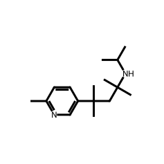 Cc1ccc(C(C)(C)CC(C)(C)NC(C)C)cn1